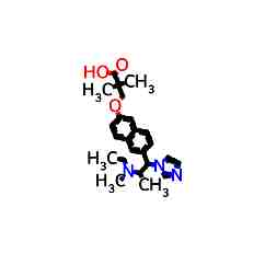 CCN(C)C(C)C(c1ccc2cc(OCC(C)(C)C(=O)O)ccc2c1)n1ccnc1